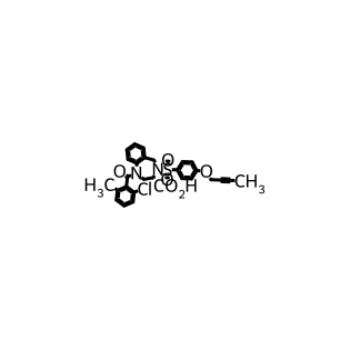 CC#CCOc1ccc(S(=O)(=O)N2Cc3ccccc3N(C(=O)c3c(C)cccc3Cl)CC2C(=O)O)cc1